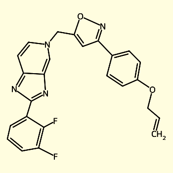 C=CCOc1ccc(-c2cc(Cn3ccc4nc(-c5cccc(F)c5F)nc-4c3)on2)cc1